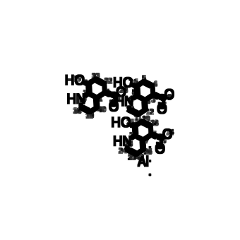 O=S(=O)=c1ccc(O)c2[nH]cccc1-2.O=S(=O)=c1ccc(O)c2[nH]cccc1-2.O=S(=O)=c1ccc(O)c2[nH]cccc1-2.[Al]